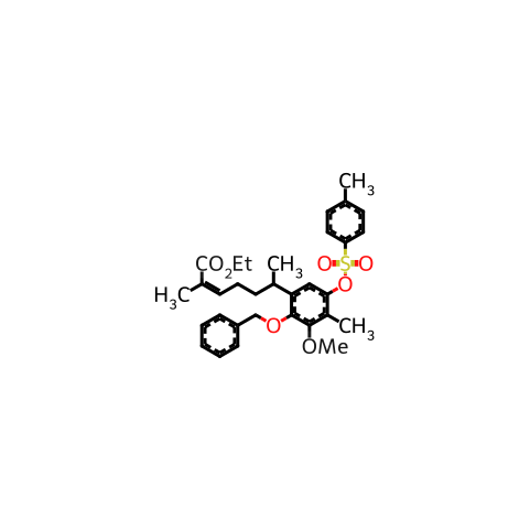 CCOC(=O)/C(C)=C\CCC(C)c1cc(OS(=O)(=O)c2ccc(C)cc2)c(C)c(OC)c1OCc1ccccc1